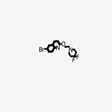 FC1(F)CCN(CCOc2ccc3cc(Br)ccc3n2)CC1